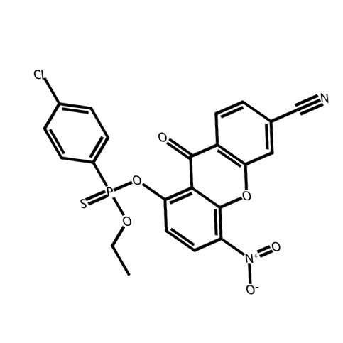 CCOP(=S)(Oc1ccc([N+](=O)[O-])c2oc3cc(C#N)ccc3c(=O)c12)c1ccc(Cl)cc1